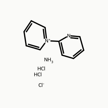 Cl.Cl.N.[Cl-].c1cc[n+](-c2ccccn2)cc1